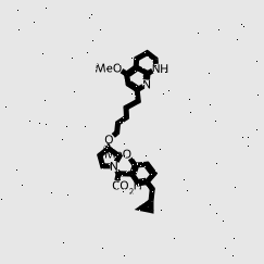 COc1ccc(CC2CC2)cc1C(C(=O)O)N1CC[C@@H](OCCCCCc2cc(OC)c3c(n2)NCCC3)C1